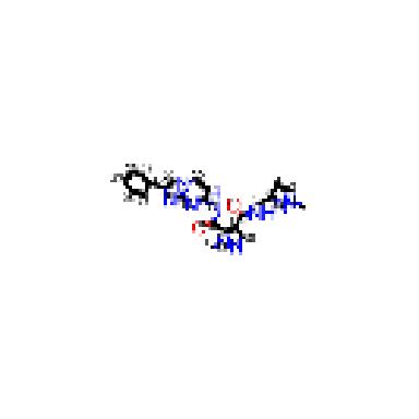 Cn1ccc(CNC(=O)c2cnn(C)c2C(=O)Nc2ccn3cc(-c4ccccc4)nc3n2)n1